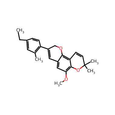 CCc1ccc(C2=Cc3cc(OC)c4c(c3OC2)C=CC(C)(C)O4)c(C)c1